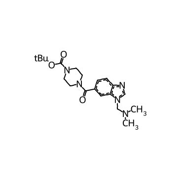 CN(C)Cn1cnc2ccc(C(=O)N3CCN(C(=O)OC(C)(C)C)CC3)cc21